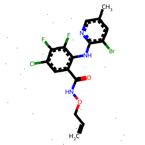 C=CCONC(=O)c1cc(Cl)c(F)c(F)c1Nc1ncc(C)cc1Br